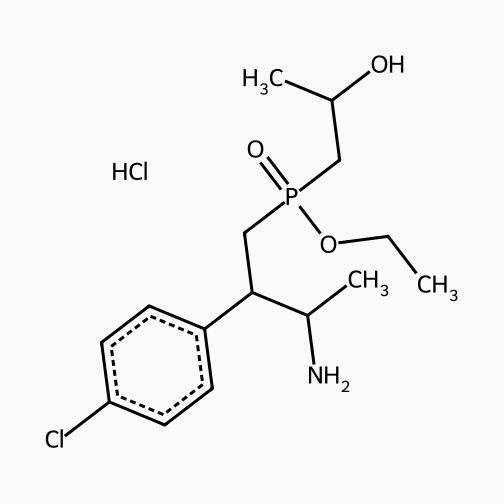 CCOP(=O)(CC(C)O)CC(c1ccc(Cl)cc1)C(C)N.Cl